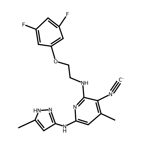 [C-]#[N+]c1c(C)cc(Nc2cc(C)[nH]n2)nc1NCCOc1cc(F)cc(F)c1